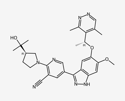 COc1cc2[nH]nc(-c3cnc(N4CC[C@@H](C(C)(C)O)C4)c(C#N)c3)c2cc1O[C@H](C)c1c(C)cnnc1C